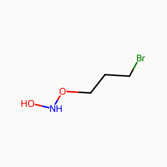 ONOCCCBr